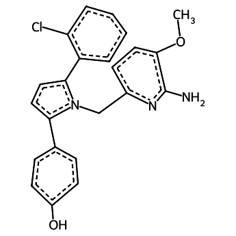 COc1ccc(Cn2c(-c3ccc(O)cc3)ccc2-c2ccccc2Cl)nc1N